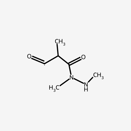 CNN(C)C(=O)C(C)[C]=O